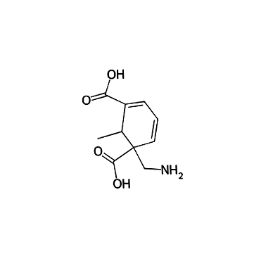 CC1C(C(=O)O)=CC=CC1(CN)C(=O)O